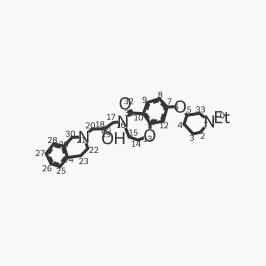 CCN1CCCC(Oc2ccc3c(c2)OCCN(C[C@H](O)CN2CCc4ccccc4C2)C3=O)C1